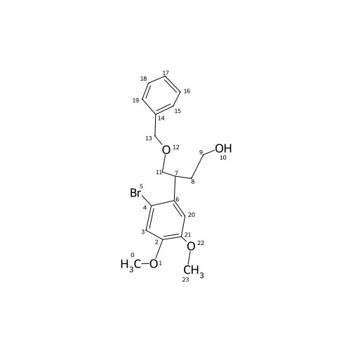 COc1cc(Br)c(C(CCO)COCc2ccccc2)cc1OC